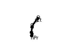 CCCc1ccc2c(c1)Cc1cc(C#Cc3ccc(OCCCCCCOCC4(CC)COC4)cc3)ccc1-2